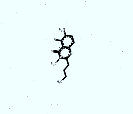 CCCCc1nc2ccc(N)c(F)c2c(=O)n1C